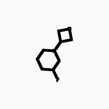 FC1CCCN(C2COC2)C1